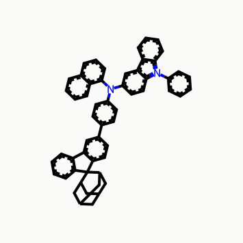 c1ccc(-n2c3ccccc3c3cc(N(c4ccc(-c5ccc6c(c5)-c5ccccc5C65C6CC7CC(C6)CC5C7)cc4)c4cccc5ccccc45)ccc32)cc1